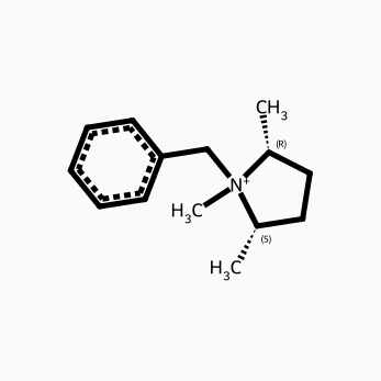 C[C@@H]1CC[C@H](C)[N+]1(C)Cc1ccccc1